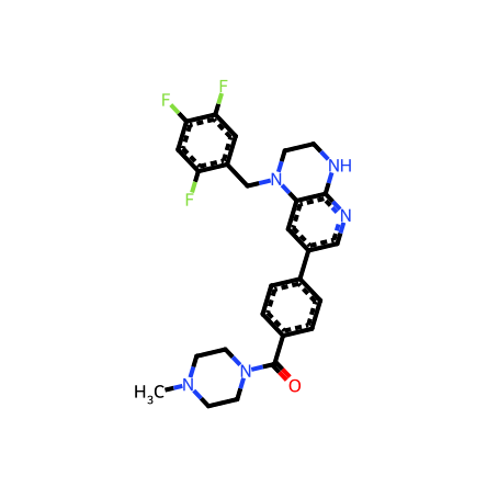 CN1CCN(C(=O)c2ccc(-c3cnc4c(c3)N(Cc3cc(F)c(F)cc3F)CCN4)cc2)CC1